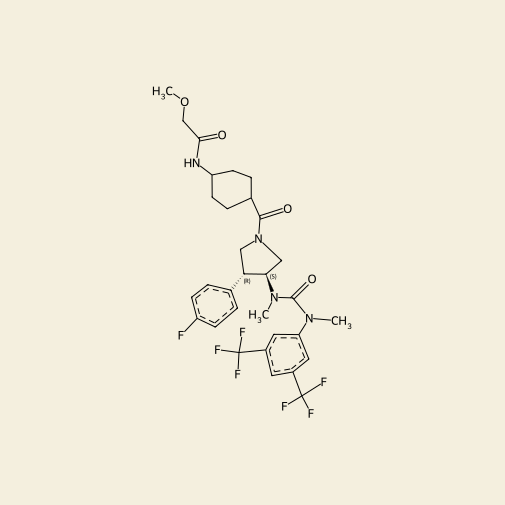 COCC(=O)NC1CCC(C(=O)N2C[C@@H](N(C)C(=O)N(C)c3cc(C(F)(F)F)cc(C(F)(F)F)c3)[C@H](c3ccc(F)cc3)C2)CC1